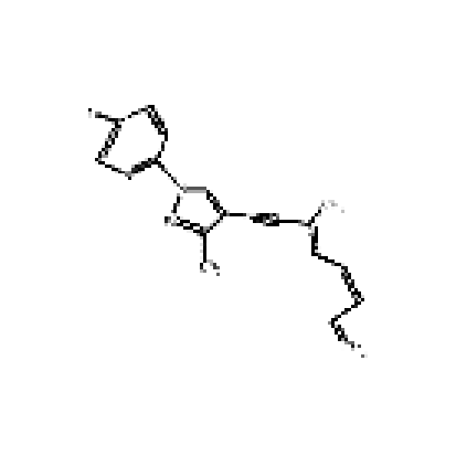 C=C/C=C\C=C(/C)C#Cc1cn(-c2ccc(F)cn2)nc1C